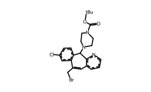 CC(C)(C)OC(=O)N1CCN(C2c3ccc(Cl)cc3C(CBr)=Cc3cccnc32)CC1